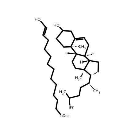 CC(C)[C@@H](C)CC[C@@H](C)[C@H]1CC[C@H]2[C@@H]3CC=C4CC(O)CC[C@]4(C)[C@H]3CC[C@]12C.CCCCCCCCCCCCCCCCCCCC/C=C/O